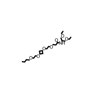 CCCCOCCOC1CC(OCCOCCC(=O)NC(COCC)COCC)C1